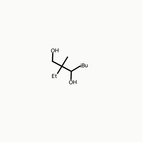 CCC(C)C(O)C(C)(CC)CO